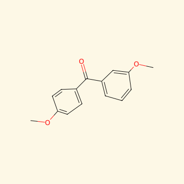 COc1ccc(C(=O)c2cccc(OC)c2)cc1